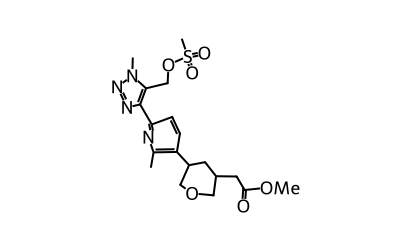 COC(=O)CC1COCC(c2ccc(-c3nnn(C)c3COS(C)(=O)=O)nc2C)C1